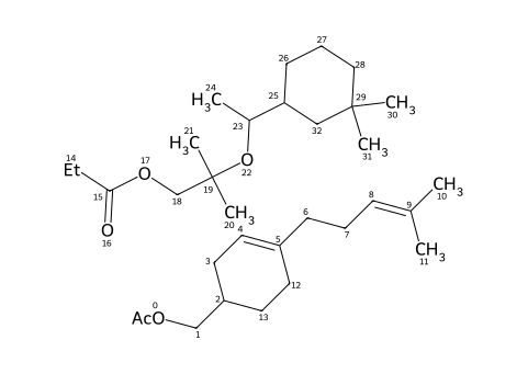 CC(=O)OCC1CC=C(CCC=C(C)C)CC1.CCC(=O)OCC(C)(C)OC(C)C1CCCC(C)(C)C1